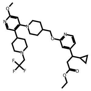 CCOC(=O)CC(c1ccnc(OCC2CCN(c3cc(OC)ncc3C3CCN(CC(F)(F)F)CC3)CC2)c1)C1CC1